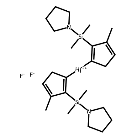 CC1=CC[C]([Hf+2][C]2=C([Si](C)(C)N3CCCC3)C(C)=CC2)=C1[Si](C)(C)N1CCCC1.[F-].[F-]